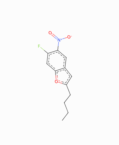 CCCCc1cc2cc([N+](=O)[O-])c(F)cc2o1